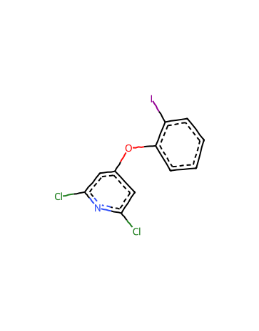 Clc1cc(Oc2ccccc2I)cc(Cl)n1